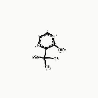 CNC(C)(C)c1nccnc1OC